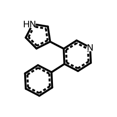 c1ccc(-c2ccncc2-c2cc[nH]c2)cc1